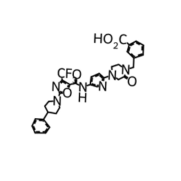 O=C(O)c1cccc(CN2CCN(c3ccc(NC(=O)c4oc(N5CCC(c6ccccc6)CC5)nc4C(F)(F)F)cn3)CC2=O)c1